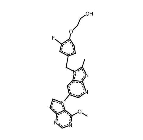 COc1ncnc2ccn(-c3cnc4nc(C)n(Cc5ccc(OCCO)c(F)c5)c4c3)c12